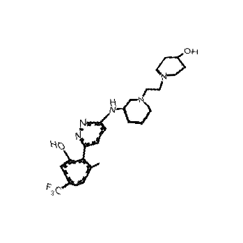 Cc1cc(C(F)(F)F)cc(O)c1-c1ccc(N[C@@H]2CCCN(CCN3CCC(O)CC3)C2)nn1